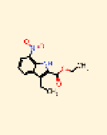 CCOC(=O)c1[nH]c2c([N+](=O)[O-])cccc2c1CC